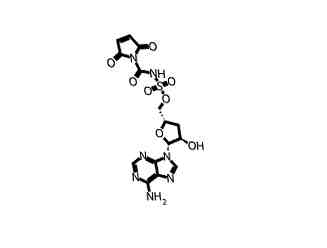 Nc1ncnc2c1ncn2[C@@H]1O[C@H](COS(=O)(=O)NC(=O)N2C(=O)C=CC2=O)C[C@H]1O